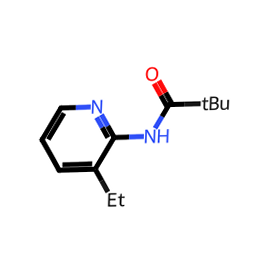 CCc1cccnc1NC(=O)C(C)(C)C